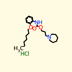 CCCCCCCOc1ccccc1NC(=O)OCCCN1CCCCCC1.Cl